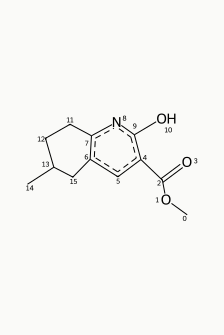 COC(=O)c1cc2c(nc1O)CCC(C)C2